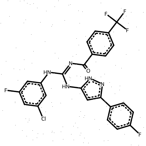 O=C(/N=C(/Nc1cc(F)cc(Cl)c1)Nc1cc(-c2ccc(F)cc2)n[nH]1)c1ccc(C(F)(F)F)cc1